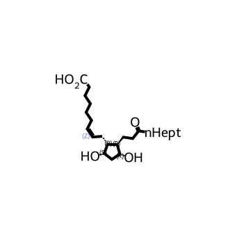 CCCCCCCC(=O)CC[C@@H]1[C@@H](C/C=C\CCCCCC(=O)O)[C@@H](O)C[C@H]1O